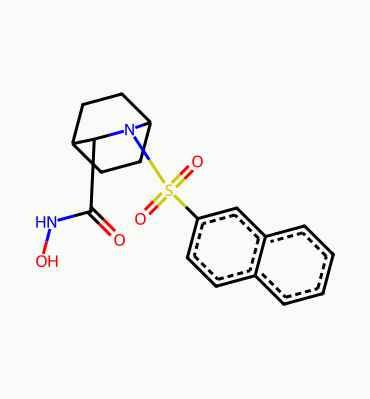 O=C(NO)C1C2CCC(CC2)N1S(=O)(=O)c1ccc2ccccc2c1